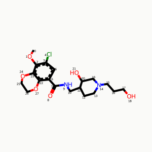 COc1c(Cl)cc(C(=O)NCC2CCN(CCCO)CC2O)c2c1OCCO2